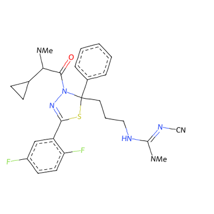 CNC(=NC#N)NCCCC1(c2ccccc2)SC(c2cc(F)ccc2F)=NN1C(=O)C(NC)C1CC1